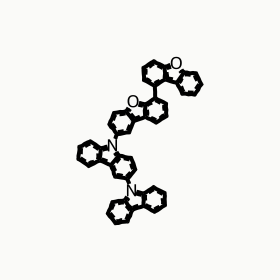 c1ccc2c(c1)oc1cccc(-c3cccc4c3oc3ccc(-n5c6ccccc6c6cc(-n7c8ccccc8c8ccccc87)ccc65)cc34)c12